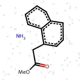 COC(=O)Cc1cccc2ccccc12.N